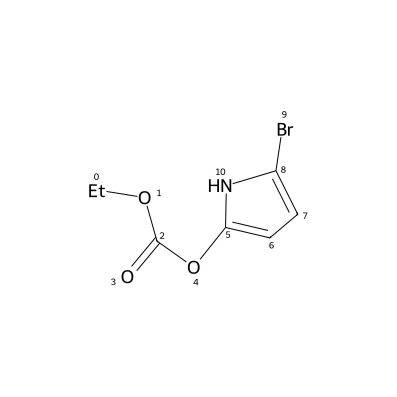 CCOC(=O)Oc1ccc(Br)[nH]1